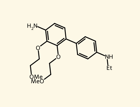 CCNc1ccc(-c2ccc(N)c(OCCOC)c2OCCOC)cc1